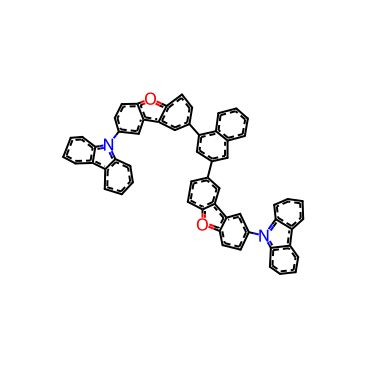 c1ccc2c(-c3ccc4oc5ccc(-n6c7ccccc7c7ccccc76)cc5c4c3)cc(-c3ccc4oc5ccc(-n6c7ccccc7c7ccccc76)cc5c4c3)cc2c1